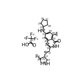 O=C(O)C(F)(F)F.O=c1[nH]c(CS[C@H]2CNC[C@H]2F)nc2cc(NC3CCCC3)cc(F)c12